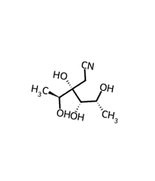 C[C@H](O)[C@@](O)(CC#N)[C@@H](O)[C@@H](C)O